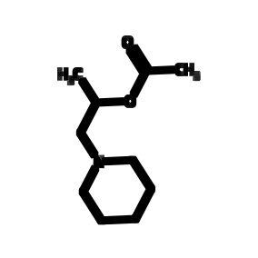 CC(=O)OC(C)CN1CCCCC1